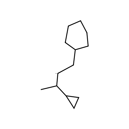 CC([CH]CC1CCCCC1)C1CC1